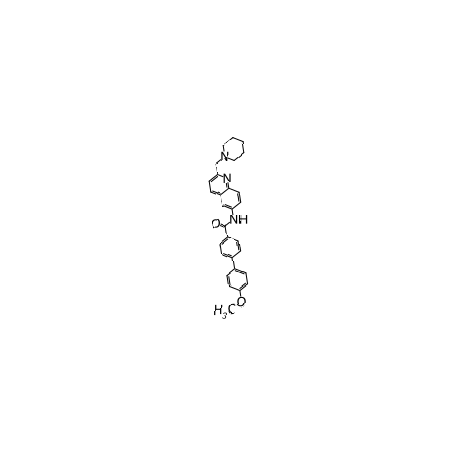 COc1ccc(-c2ccc(C(=O)Nc3ccc4nc(CN5CCCCC5)ccc4c3)cc2)cc1